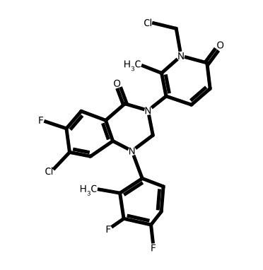 Cc1c(N2CN(c3ccc(=O)n(CCl)c3C)C(=O)c3cc(F)c(Cl)cc32)ccc(F)c1F